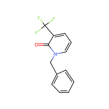 O=c1c(C(F)(F)F)cccn1Cc1ccccc1